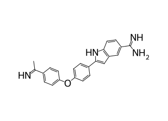 CC(=N)c1ccc(Oc2ccc(-c3cc4cc(C(=N)N)ccc4[nH]3)cc2)cc1